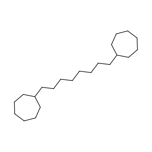 C(CCCCC1CCCCCC1)CCCC1CCCCCC1